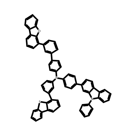 c1ccc(-n2c3ccccc3c3ccc(-c4ccc(N(c5ccc(-c6cccc(-c7cccc8c7oc7ccccc78)c6)cc5)c5cccc(-c6cccc7c6sc6ccccc67)c5)cc4)cc32)cc1